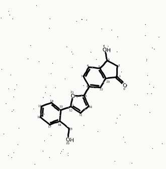 O=C1CC(O)c2ccc(-c3ccc(-c4ccccc4CO)o3)cc21